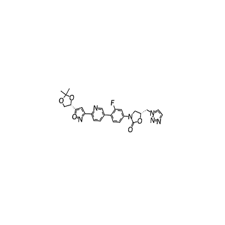 CC1(C)OC[C@@H](c2cc(-c3ccc(-c4ccc(N5C[C@H](Cn6ccnn6)OC5=O)cc4F)cn3)no2)O1